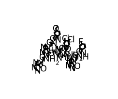 COc1ccc2nc(NC(=O)Cn3cnc4ncn(C)c(=O)c43)oc2c1.Cn1cnc2ncn(C(C(N)=O)c3nc4cc(Cl)c(Cl)cc4o3)c2c1=O.Cn1cnc2ncn(CC(=O)Nc3nc4ccc(F)cc4o3)c2c1=O.Cn1cnc2ncn(CC(N)=O)c2c1=O